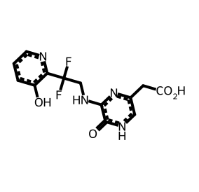 O=C(O)Cc1c[nH]c(=O)c(NCC(F)(F)c2ncccc2O)n1